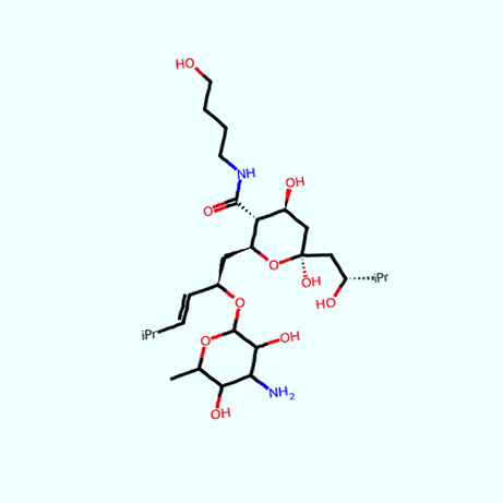 CC(C)/C=C/[C@@H](C[C@@H]1O[C@](O)(C[C@@H](O)C(C)C)C[C@H](O)[C@H]1C(=O)NCCCCO)OC1OC(C)C(O)C(N)C1O